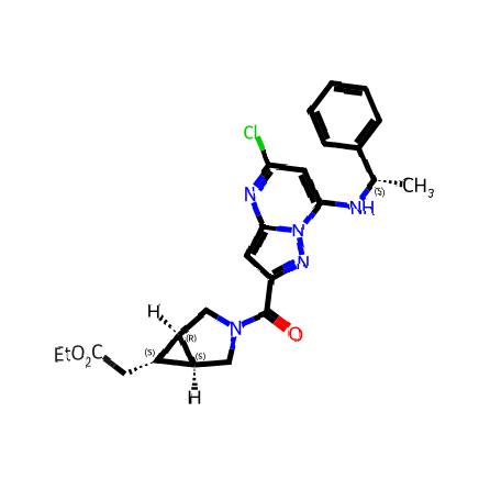 CCOC(=O)C[C@@H]1[C@H]2CN(C(=O)c3cc4nc(Cl)cc(N[C@@H](C)c5ccccc5)n4n3)C[C@@H]12